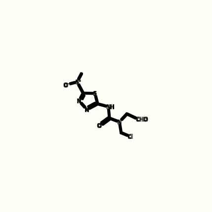 C[S+]([O-])c1nnc(NC(=O)N(CCl)CC=O)s1